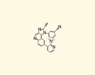 C#Cc1nc2cnc3ccc(-c4cccnc4N(C)C)cc3c2n1-c1cccc(C#N)c1